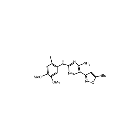 COc1cc(C)c(Nc2ncc(-c3cc(C(C)(C)C)on3)c(N)n2)cc1OC